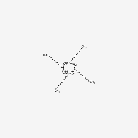 CCCCCCCCCCCc1c2nc(c(CCCCCCCCCCC)c3ccc([nH]3)c(CCCCCCCCCCC)c3nc(c(CCCCCCCCCCC)c4ccc1[nH]4)C=C3)C=C2